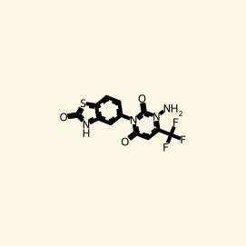 Nn1c(C(F)(F)F)cc(=O)n(-c2ccc3sc(=O)[nH]c3c2)c1=O